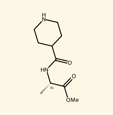 COC(=O)[C@H](C)NC(=O)C1CCNCC1